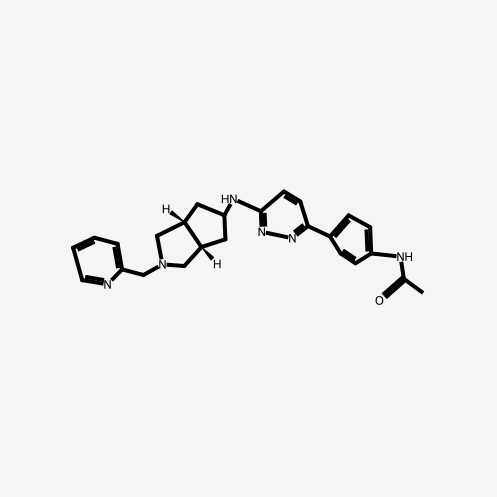 CC(=O)Nc1ccc(-c2ccc(NC3C[C@@H]4CN(Cc5ccccn5)C[C@@H]4C3)nn2)cc1